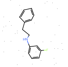 Fc1cccc(NCCc2ccccc2)c1